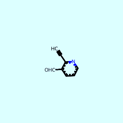 C#Cc1ncccc1C=O